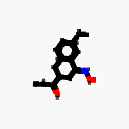 COC(=O)C1CC(=NO)c2cc(OC)ccc2C1